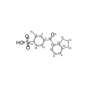 Cc1cc(C(=O)c2cccc3c2CCC3)ccc1S(=O)(=O)O